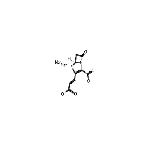 O=C([O-])C=CC1=C(C(=O)[O-])N2C(=O)C[C@@H]2S1.[Na+].[Na+]